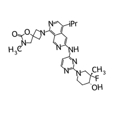 CC(C)c1cnc(N2CC3(CN(C)C(=O)O3)C2)c2cnc(Nc3ccnc(N4CC[C@@H](O)[C@@](C)(F)C4)n3)cc12